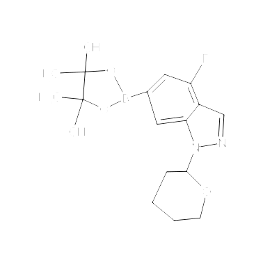 CC1(C)OB(c2cc(F)c3cnn(C4CCCCO4)c3c2)OC1(C)C